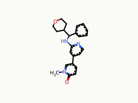 Cn1cc(-c2ccnc(NC(c3ccccc3)C3CCOCC3)c2)ccc1=O